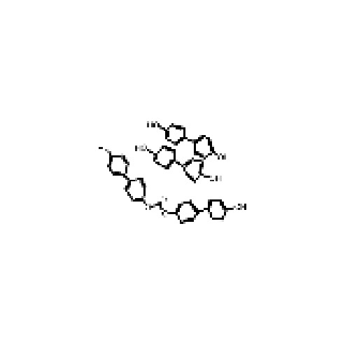 O=C(Oc1ccc(-c2ccc(O)cc2)cc1)Oc1ccc(-c2ccc(O)cc2)cc1.Oc1ccc(-c2ccc(O)cc2)cc1.Oc1ccc(-c2ccc(O)cc2)cc1